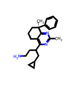 Cc1nc(C(CCN)CC2CC2)c2c(n1)[C@](C)(c1ccccc1)CCC2